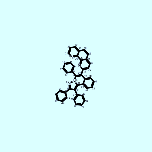 c1ccc(-c2nn3c(-c4ccccc4)c(-c4ccc5ccc6cccnc6c5n4)c4ccccc4c3c2-c2ccccc2)cc1